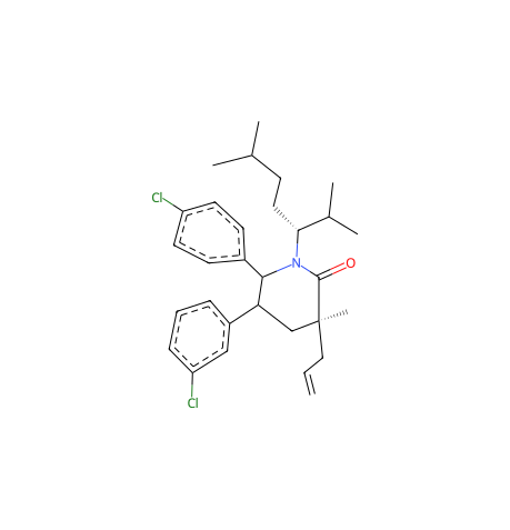 C=CC[C@@]1(C)CC(c2cccc(Cl)c2)C(c2ccc(Cl)cc2)N([C@H](CCC(C)C)C(C)C)C1=O